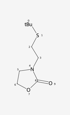 CC(C)(C)SCCN1CCOC1=O